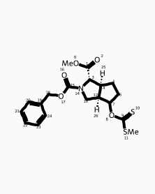 COC(=O)[C@@H]1[C@H]2CCC(OC(=S)SC)[C@H]2CN1C(=O)OCc1ccccc1